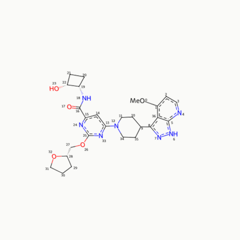 COc1ccnc2[nH]nc(C3CCN(c4cc(C(=O)N[C@H]5CC[C@H]5O)nc(OC[C@@H]5CCCO5)n4)CC3)c12